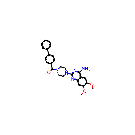 COc1cc2nc(N3CCN(C(=O)c4ccc(-c5ccccc5)cc4)CC3)nc(N)c2cc1OC